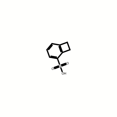 O=S(=O)(O)c1cccc2c1CC2